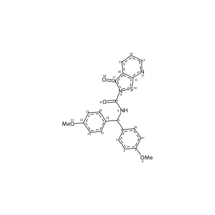 COc1ccc(C(NC(=O)n2sc3ncccc3c2=O)c2ccc(OC)cc2)cc1